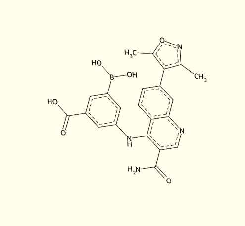 Cc1noc(C)c1-c1ccc2c(Nc3cc(B(O)O)cc(C(=O)O)c3)c(C(N)=O)cnc2c1